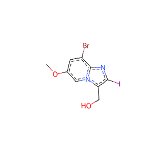 COc1cc(Br)c2nc(I)c(CO)n2c1